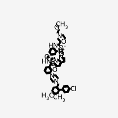 COCCN1CCOC(CNc2ccc(S(=O)(=O)NC(=O)c3cccc(N4CCN(CC5=C(c6ccc(Cl)cc6)CC(C)(C)CC5)CC4)c3Oc3cnc4[nH]ccc4c3)cc2[N+](=O)[O-])C1